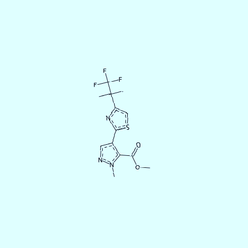 COC(=O)c1c(-c2nc(C(C)(C)C(F)(F)F)cs2)cnn1C